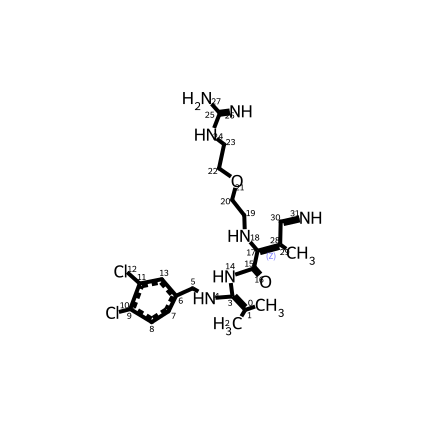 CC(C)=C(NCc1ccc(Cl)c(Cl)c1)NC(=O)/C(NCCOCCNC(=N)N)=C(\C)C=N